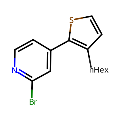 CCCCCCc1ccsc1-c1ccnc(Br)c1